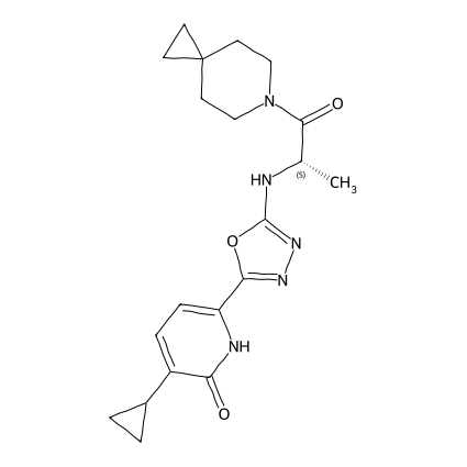 C[C@H](Nc1nnc(-c2ccc(C3CC3)c(=O)[nH]2)o1)C(=O)N1CCC2(CC1)CC2